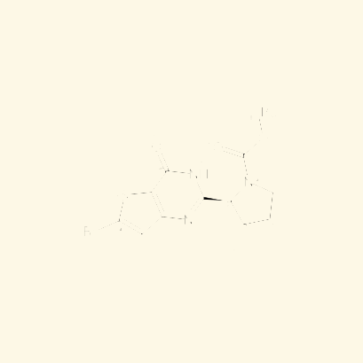 C[C@H]1CCN(C(=O)OC(C)(C)C)[C@@H]1c1nc2cc(Br)sc2c(=O)[nH]1